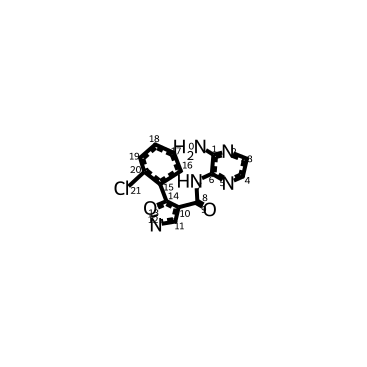 Nc1nccnc1NC(=O)c1cnoc1-c1ccccc1Cl